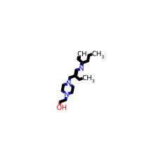 C=C/C(CCC)=N\C=C(/CC)CN1CCN(CCO)CC1